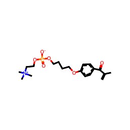 C=C(C)C(=O)c1ccc(OCCCCOP(=O)([O-])OCC[N+](C)(C)C)cc1